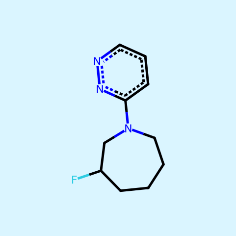 FC1CCCCN(c2cccnn2)C1